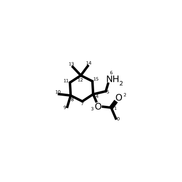 CC(=O)OC1(CN)CC(C)(C)CC(C)(C)C1